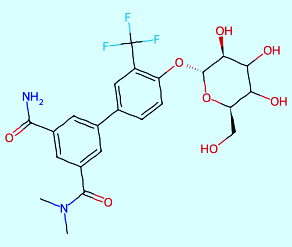 CN(C)C(=O)c1cc(C(N)=O)cc(-c2ccc(O[C@H]3O[C@H](CO)C(O)C(O)[C@@H]3O)c(C(F)(F)F)c2)c1